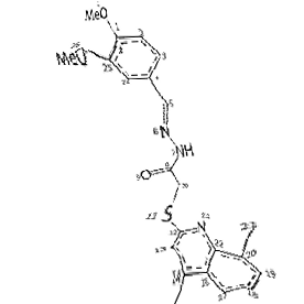 COc1ccc(C=NNC(=O)CSc2cc(C)c3cccc(C)c3n2)cc1OC